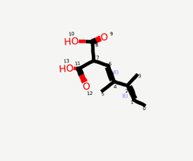 C/C=C(C)/C(C)=C/C(C(=O)O)C(=O)O